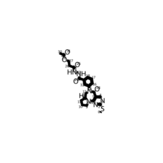 CSc1ncc2c(n1)N1CCC[C@H]1CN(c1cccc(C(=O)NNC(=O)CCOC(C)=O)c1)C2=O